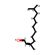 CC(=C[C]=O)CCCCCCCC(C)C